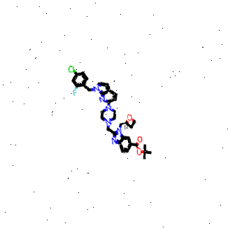 CC(C)(C)OC(=O)c1ccc2nc(CN3CCN(c4ccc5ccn(Cc6ccc(Cl)cc6F)c5n4)CC3)n(C[C@@H]3CCO3)c2c1